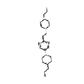 CCC[C@H]1CC[C@H](CCc2ncc([C@H]3CC[C@H](CCC)CC3)cn2)CC1